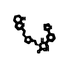 O=C(N[C@@H](CCN1CC[C@@H](CCc2ccc3c(n2)NCCC3)C1)C(=O)O)c1cccc(-c2cscn2)c1